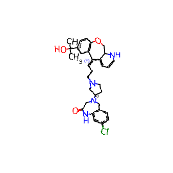 CC(C)(O)C1C=CC2=C(C1)/C(=C/CCN1CC[C@@H](N3CC(=O)Nc4cc(Cl)ccc4C3)C1)C1=CC=CNC1CO2